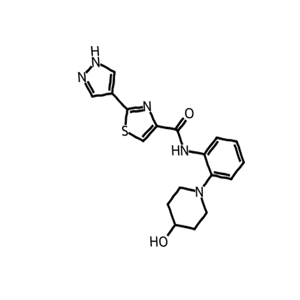 O=C(Nc1ccccc1N1CCC(O)CC1)c1csc(-c2cn[nH]c2)n1